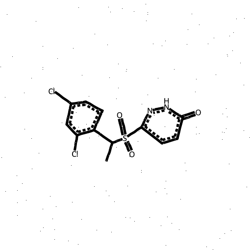 CC(c1ccc(Cl)cc1Cl)S(=O)(=O)c1ccc(=O)[nH]n1